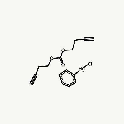 C#CCCOC(=O)OCCC#C.[Cl][Hg][c]1ccccc1